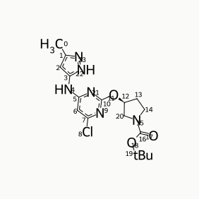 Cc1cc(Nc2cc(Cl)nc(O[C@H]3CCN(C(=O)OC(C)(C)C)C3)n2)[nH]n1